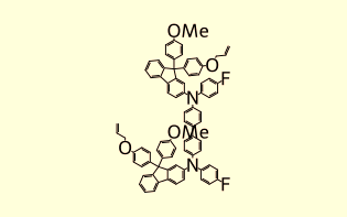 C=CCOc1ccc(C2(c3ccc(OC)cc3)c3ccccc3-c3ccc(N(c4ccc(F)cc4)c4ccc(-c5ccc(N(c6ccc(F)cc6)c6ccc7c(c6)C(c6ccc(OC)cc6)(c6ccc(OCC=C)cc6)c6ccccc6-7)cc5)cc4)cc32)cc1